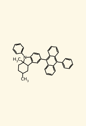 CC1CCC2(C)C(C1)c1cc(-c3c4ccccc4c(-c4ccccc4)c4ccccc34)ccc1N2c1ccccc1